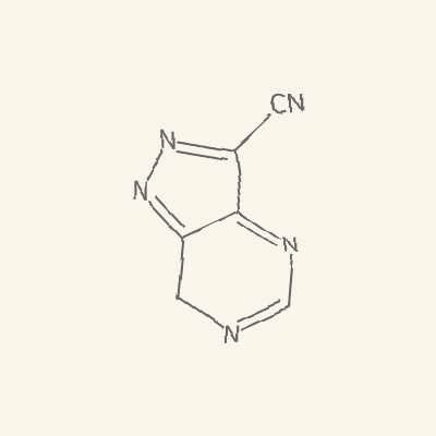 N#CC1=NN=C2CN=CN=C12